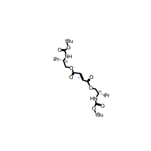 CC(C)[C@@H](COC(=O)/C=C/C(=O)OC[C@@H](NC(=O)OC(C)(C)C)C(C)C)NC(=O)OC(C)(C)C